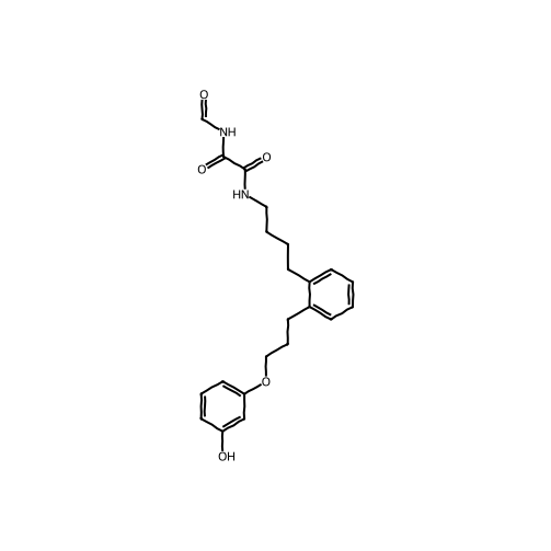 O=CNC(=O)C(=O)NCCCCc1ccccc1CCCOc1cccc(O)c1